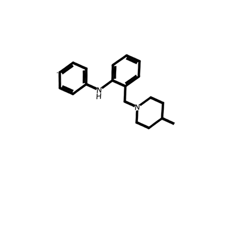 CC1CCN(Cc2ccccc2Nc2cc[c]cc2)CC1